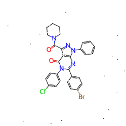 O=C(c1nn(-c2ccccc2)c2nc(-c3ccc(Br)cc3)n(-c3ccc(Cl)cc3)c(=O)c12)N1CCCCC1